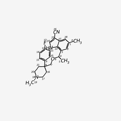 Cc1cc(C(C)OCC2(c3ccc(F)cc3)CCN(C)CC2)c2[nH]cc(C#N)c2c1